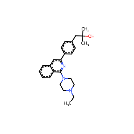 CCN1CCN(c2nc(-c3ccc(CC(C)(C)O)cc3)cc3ccccc23)CC1